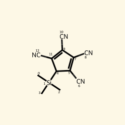 C[Si](C)(C)C1C(C#N)=C(C#N)C(C#N)=C1C#N